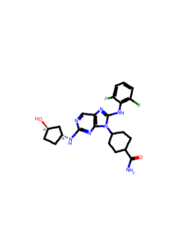 NC(=O)C1CCC(n2c(Nc3c(F)cccc3F)nc3cnc(N[C@@H]4CC[C@@H](O)C4)nc32)CC1